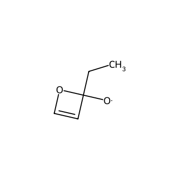 CCC1([O])C=CO1